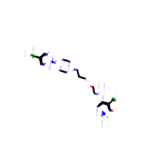 O=C(CCOCCNc1cn[nH]c(=O)c1C(F)(F)F)N1CCN(c2ncc(C(F)(F)F)cn2)CC1